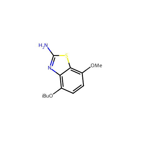 COc1ccc(OCC(C)C)c2nc(N)sc12